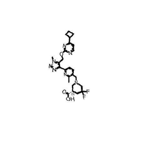 Cc1nc(-c2nnn(C)c2COc2nccc(C3CCC3)n2)ccc1CN1C[C@@H](C(=O)O)CC(F)(F)C1